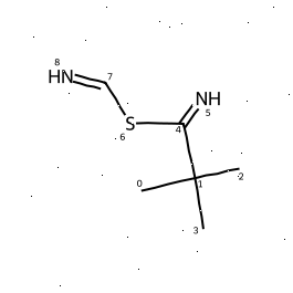 CC(C)(C)C(=N)SC=N